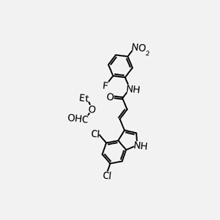 CCOC=O.O=C(C=Cc1c[nH]c2cc(Cl)cc(Cl)c12)Nc1cc([N+](=O)[O-])ccc1F